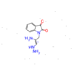 NN/C=C(\N)CN1C(=O)C(=O)c2ccccc21